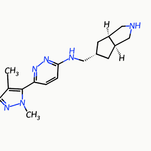 Cc1cnn(C)c1-c1ccc(NC[C@@H]2C[C@H]3CNC[C@H]3C2)nn1